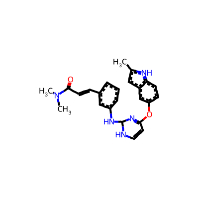 Cc1cc2cc(OC3=NC(Nc4cccc(/C=C/C(=O)N(C)C)c4)NC=C3)ccc2[nH]1